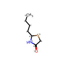 CCCCC1NC(=O)CS1